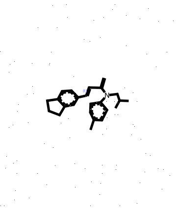 C=C(/C=C/c1ccc2c(c1)CCC2)N(CC(C)C)c1ccc(C)cc1